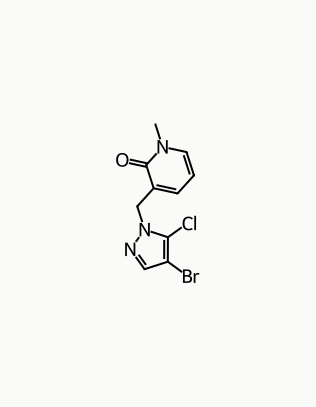 Cn1cccc(Cn2ncc(Br)c2Cl)c1=O